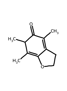 CC1=C2CCOC2=C(C)C(C)C1=O